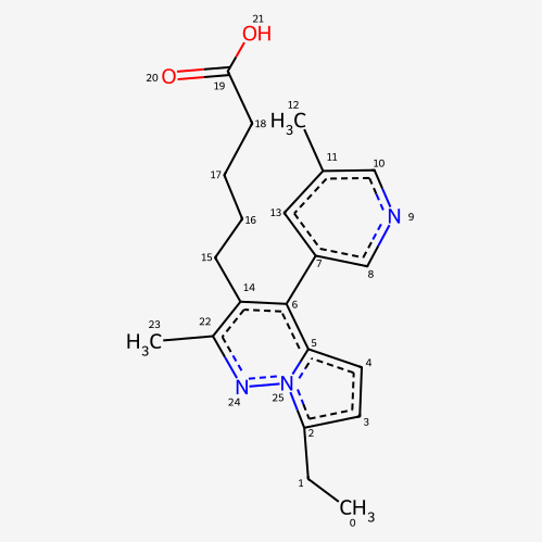 CCc1ccc2c(-c3cncc(C)c3)c(CCCCC(=O)O)c(C)nn12